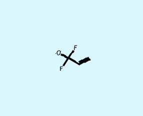 C=CC([O])(F)F